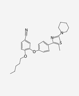 CCCCCOc1ccc(C#N)cc1Oc1ccc(-c2nc(N3CCCCC3)sc2C)cc1